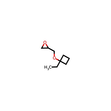 CCC1(OCC2CO2)CCC1